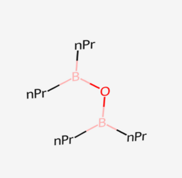 CCCB(CCC)OB(CCC)CCC